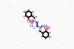 NN(CCN(N)Cc1ccccc1O)Cc1ccccc1O